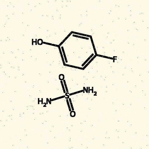 NS(N)(=O)=O.Oc1ccc(F)cc1